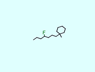 CCCC(F)CCCC1(C)CCCCC1